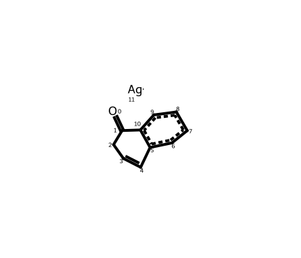 O=C1CC=Cc2ccccc21.[Ag]